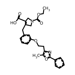 CCOC(=O)N1CC(Cc2cccc(OCCc3nc(-c4ccccc4)oc3C)c2)=C(C(=O)O)C1